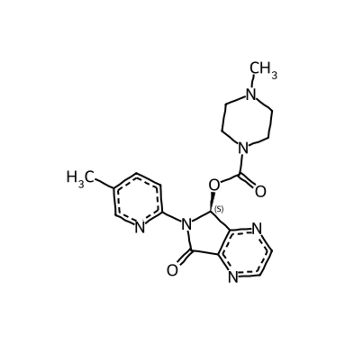 Cc1ccc(N2C(=O)c3nccnc3[C@@H]2OC(=O)N2CCN(C)CC2)nc1